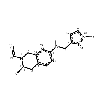 C[C@@H]1Cc2cnc(NCc3ccn(C)n3)nc2CN1C=O